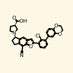 N#Cc1c2c(cc3cc(-c4cccc(-c5ccc6c(c5)OCCO6)c4Cl)oc13)[C@H](N1CC[C@@H](C(=O)O)C1)CC2